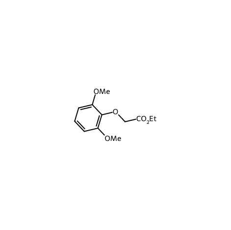 CCOC(=O)COc1c(OC)cccc1OC